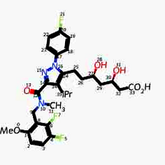 COc1ccc(F)c(F)c1CN(C)C(=O)c1nn(-c2ccc(F)cc2)c(CC[C@@H](O)C[C@@H](O)CC(=O)O)c1C(C)C